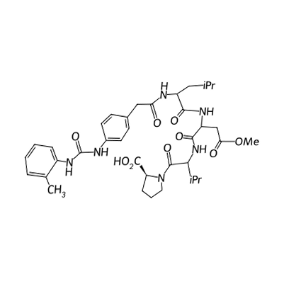 COC(=O)CC(NC(=O)C(CC(C)C)NC(=O)Cc1ccc(NC(=O)Nc2ccccc2C)cc1)C(=O)NC(C(=O)N1CCC[C@H]1C(=O)O)C(C)C